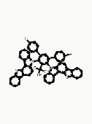 CC(C)(C)c1c(-n2c3ccccc3c3c4sc5ccccc5c4ccc32)c(-c2ccc(F)cc2)cc(-c2ccc(F)cc2)c1-n1c2ccccc2c2c3sc4ccccc4c3ccc21